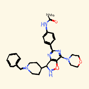 CNC(=O)Nc1ccc(-c2nc3c(c(N4CCOCC4)n2)ONC3C2CCN(Cc3ccccc3)CC2)cc1